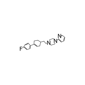 Fc1ccc(C2=CCC(CCN3CCN(c4ccccn4)CC3)CC2)cc1